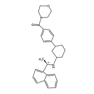 C[C@@H](NC1CCCC(c2ccc(C(=O)N3CCOCC3)cc2)C1)c1cccc2ccccc12